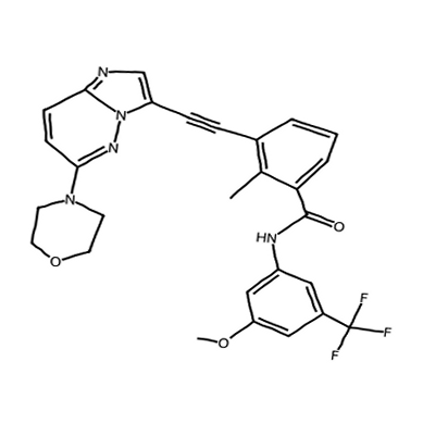 COc1cc(NC(=O)c2cccc(C#Cc3cnc4ccc(N5CCOCC5)nn34)c2C)cc(C(F)(F)F)c1